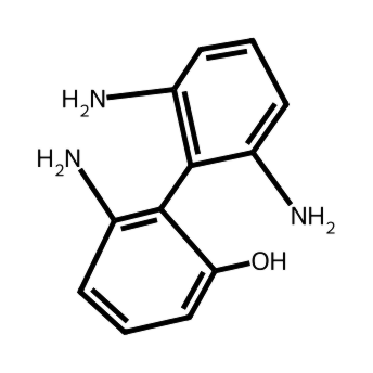 Nc1cccc(N)c1-c1c(N)cccc1O